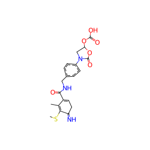 CSC1=C(C)C(C(=O)NCc2ccc(N3CC(OC(=O)O)OC3=O)cc2)=CCC1=N